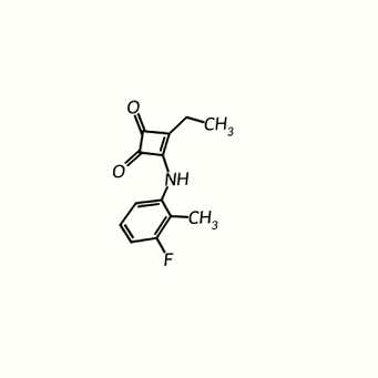 CCc1c(Nc2cccc(F)c2C)c(=O)c1=O